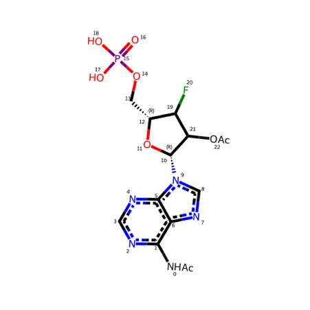 CC(=O)Nc1ncnc2c1ncn2[C@@H]1O[C@H](COP(=O)(O)O)C(F)C1OC(C)=O